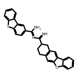 N=C(/N=C(\N)c1ccc2sc3ccccc3c2c1)C1CCc2cc3oc4ccccc4c3cc2C1